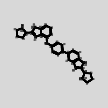 c1cc(Oc2ccc(-c3ccc4[nH]c(C5CCCN5)nc4c3)cc2)c2nc(C3CCCN3)[nH]c2c1